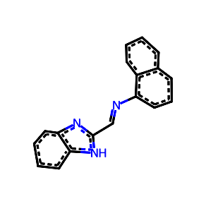 C(=N\c1cccc2ccccc12)/c1nc2ccccc2[nH]1